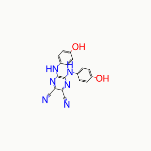 N#Cc1nc(Nc2ccc(O)cc2)c(Nc2ccc(O)cc2)nc1C#N